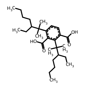 CCCCC(CC)C(C)(C)c1ccc(C(=O)O)c(C(C)(C)C(CC)CCCC)c1C(=O)O